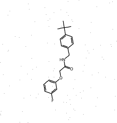 CC(C)(C)c1ccc(CNC(=O)COc2cccc(F)c2)cc1